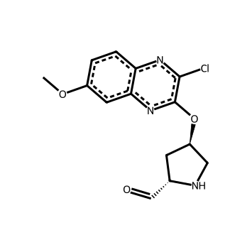 COc1ccc2nc(Cl)c(O[C@H]3CN[C@H](C=O)C3)nc2c1